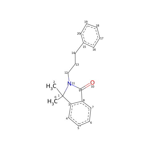 CC1(C)c2c[c]ccc2C(=O)N1CCCc1ccccc1